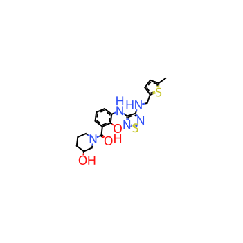 Cc1ccc(CNc2nsnc2Nc2cccc(C(=O)N3CCCC(O)C3)c2O)s1